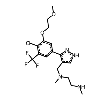 CNCCN(C)Cc1c[nH]nc1-c1cc(OCCOC)c(Cl)c(C(F)(F)F)c1